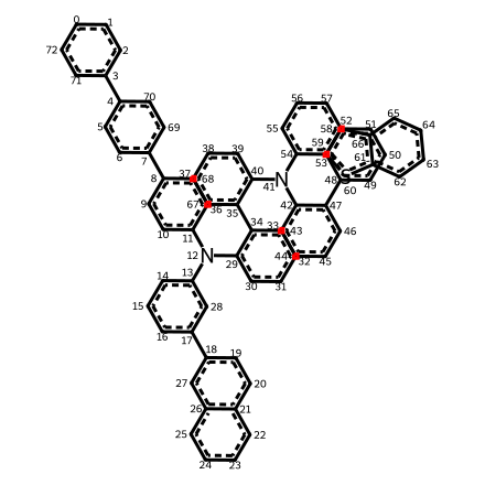 c1ccc(-c2ccc(-c3ccc(N(c4cccc(-c5ccc6ccccc6c5)c4)c4ccccc4-c4ccccc4N(c4ccccc4-c4ccccc4)c4cccc5c4sc4ccccc45)cc3)cc2)cc1